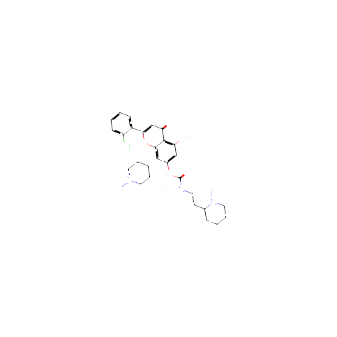 CN1CC[C@H](c2c(OC(=O)NCCC3CCCCN3)cc(O)c3c(=O)cc(-c4ccccc4Cl)oc23)[C@H](O)C1